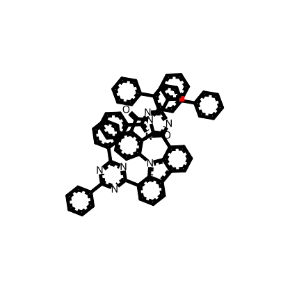 O=C1c2cccc(-n3c4c(-c5nc(-c6ccccc6)nc(-c6ccccc6)n5)cccc4c4cccc(-c5nc(-c6ccccc6)nc(-c6ccccc6)n5)c43)c2C(=O)N1c1cc(-c2ccccc2)ccc1-c1ccccc1